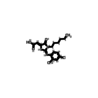 CCCCCCN1C(=O)/C(=C/C(=O)O)S/C1=N/c1ccc(Cl)cc1Cl